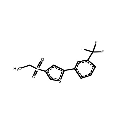 CCS(=O)(=O)c1csc(-c2cccc(C(F)(F)F)c2)c1